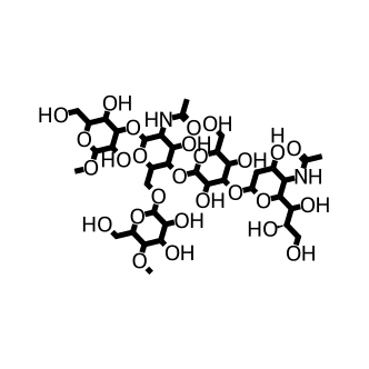 COC1OC(CO)C(O)C(OC2OC(COC3OC(CO)C(OC)C(O)C3O)C(OC3OC(CO)C(O)C(OC4CC(O)C(NC(C)=O)C(C(O)[C@@H](O)CO)O4)C3O)C(O)C2NC(C)=O)C1O